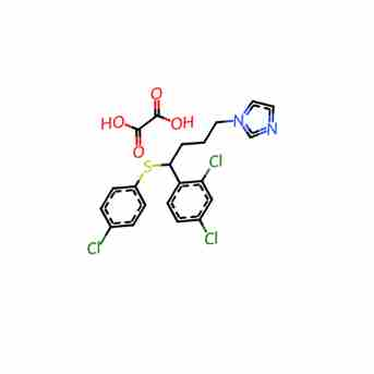 Clc1ccc(SC(CCCn2ccnc2)c2ccc(Cl)cc2Cl)cc1.O=C(O)C(=O)O